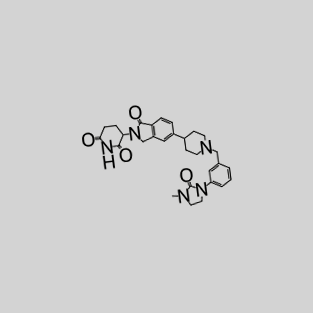 CN1CCN(c2cccc(CN3CCC(c4ccc5c(c4)CN(C4CCC(=O)NC4=O)C5=O)CC3)c2)C1=O